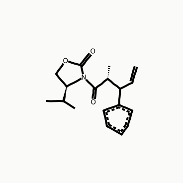 C=CC(c1ccccc1)[C@@H](C)C(=O)N1C(=O)OC[C@@H]1C(C)C